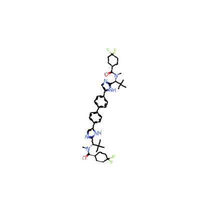 CN(C(=O)C1CCC(F)(F)CC1)[C@H](c1ncc(-c2ccc(-c3ccc(-c4cnc([C@@H](N(C)C(=O)C5CCC(F)(F)CC5)C(C)(C)C)[nH]4)cc3)cc2)[nH]1)C(C)(C)C